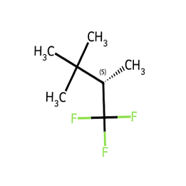 C[C@@H](C(C)(C)C)C(F)(F)F